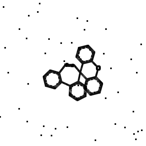 c1ccc2c(c1)Oc1ccccc1C21c2ccccc2-c2ccccc2-c2ccccc21